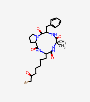 CC1(C)NC(=O)C(CCCCCC(=O)CBr)NC(=O)C2CCCN2C(=O)C(Cc2ccccc2)NC1=O